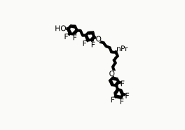 CCCC(CCCCCOc1ccc(-c2cc(F)c(F)c(F)c2)c(F)c1)CCCCCOc1ccc(CCc2ccc(O)c(F)c2F)c(F)c1F